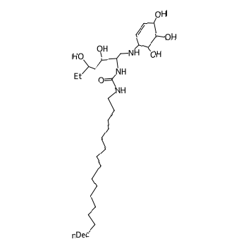 CCCCCCCCCCCCCCCCCCCCCCCCNC(=O)NC(CNC1C=CC(O)C(O)C1O)C(O)CC(O)CC